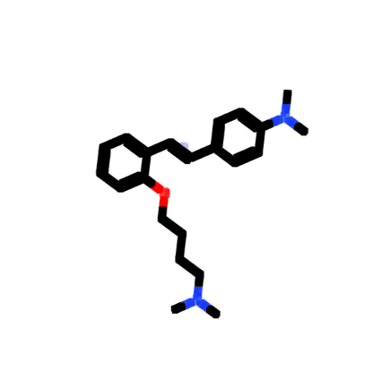 CN(C)CCCCOc1ccccc1/C=C/c1ccc(N(C)C)cc1